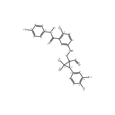 CN(C(=O)c1cc(NCC2(C=O)C(c3ccc(Cl)c(F)c3)C2(Cl)Cl)ccc1Cl)c1ccc(F)cc1